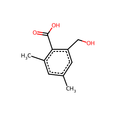 Cc1cc(C)c(C(=O)O)c(CO)c1